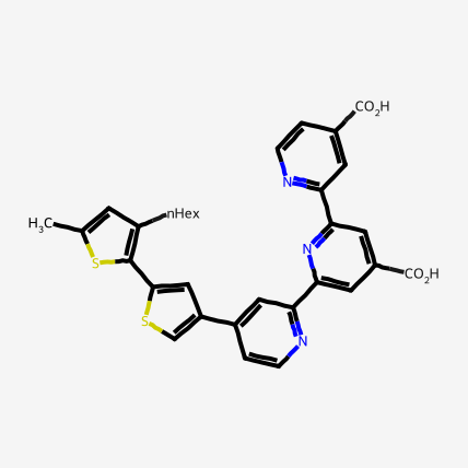 CCCCCCc1cc(C)sc1-c1cc(-c2ccnc(-c3cc(C(=O)O)cc(-c4cc(C(=O)O)ccn4)n3)c2)cs1